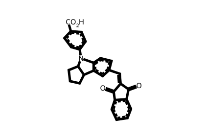 O=C(O)c1ccc(N2c3ccc(C=C4C(=O)c5ccccc5C4=O)cc3C3CCCC32)cc1